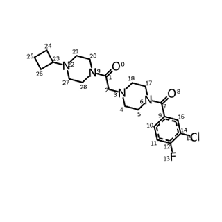 O=C(CN1CCN(C(=O)c2ccc(F)c(Cl)c2)CC1)N1CCN(C2CCC2)CC1